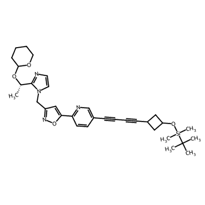 C[C@H](OC1CCCCO1)c1nccn1Cc1cc(-c2ccc(C#CC#CC3CC(O[Si](C)(C)C(C)(C)C)C3)cn2)on1